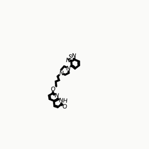 O=c1ccc2ccc(OCCCCN3CCN(c4cccc5nsnc45)CC3)nc2[nH]1